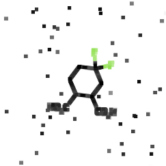 O=C(O)C1CCC(F)(F)CC1C(=O)O